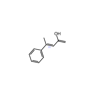 C=C(O)/C=C(\C)c1ccccc1